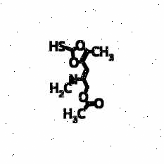 C=N/C(=C\C1=C(C)OC(S)O1)COC(C)=O